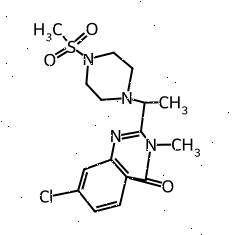 CC(c1nc2cc(Cl)ccc2c(=O)n1C)N1CCN(S(C)(=O)=O)CC1